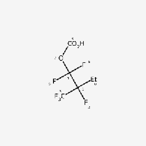 CCC(F)(C(F)(F)F)C(F)(F)OC(=O)O